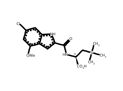 COc1cc(Cl)cc2[nH]c(C(=O)N[C@@H](C[Si](C)(C)C)C(=O)O)cc12